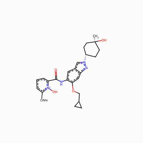 COc1cccc(C(=O)Nc2cc3cn([C@H]4CC[C@](C)(O)CC4)nc3cc2OCC2CC2)[n+]1O